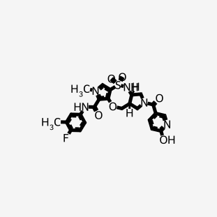 Cc1cc(NC(=O)c2c3c(cn2C)S(=O)(=O)N[C@@H]2CN(C(=O)c4ccc(O)nc4)C[C@@H]2CO3)ccc1F